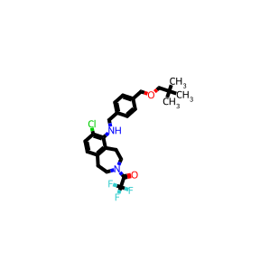 CC(C)(C)COCc1ccc(CNc2c(Cl)ccc3c2CCN(C(=O)C(F)(F)F)CC3)cc1